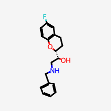 OC(CNCc1ccccc1)[C@H]1CCc2cc(F)ccc2O1